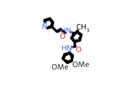 COc1ccc(NC(=O)c2ccc(C)c(NC(=O)C=Cc3cccnc3)c2)cc1OC